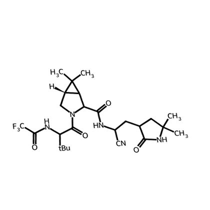 CC1(C)CC(CC(C#N)NC(=O)C2C3[C@H](CN2C(=O)C(NC(=O)C(F)(F)F)C(C)(C)C)C3(C)C)C(=O)N1